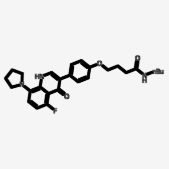 CCCCNC(=O)CCCOc1ccc(-c2c[nH]c3c(N4CCCC4)ccc(F)c3c2=O)cc1